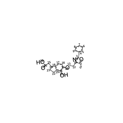 Cc1oc(-c2ccccc2)nc1CCOc1ccc2c(c1O)CCC2CC(=O)O